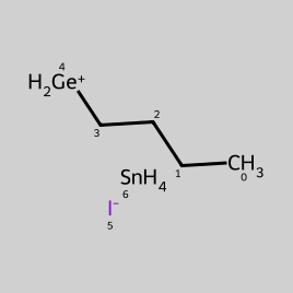 CCC[CH2][GeH2+].[I-].[SnH4]